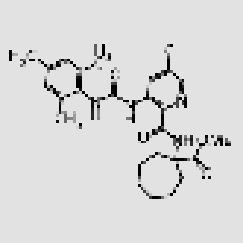 COC(=O)C1(NC(=O)c2ncc(Cl)cc2NC(=O)Nc2c(C)cc(C)cc2C)CCCCCC1